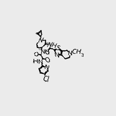 CN1CCc2nc(C(=O)N[C@@H]3CN(C4CC4)CC[C@@H]3NC(=O)C(=O)Nc3ccc(Cl)cn3)sc2C1